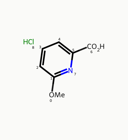 COc1cccc(C(=O)O)n1.Cl